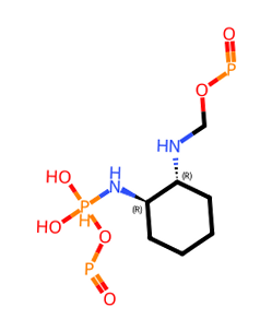 O=POCN[C@@H]1CCCC[C@H]1N[PH](O)(O)OP=O